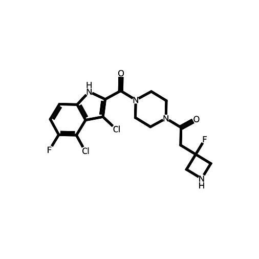 O=C(CC1(F)CNC1)N1CCN(C(=O)c2[nH]c3ccc(F)c(Cl)c3c2Cl)CC1